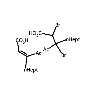 CCCCCCCC(=CC(=O)O)C(C)=O.CCCCCCCC(Br)(C(C)=O)C(Br)C(=O)O